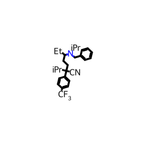 CCC(CCC(C#N)(c1ccc(C(F)(F)F)cc1)C(C)C)N(Cc1ccccc1)C(C)C